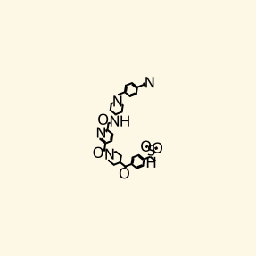 CC(c1ccc(C(=O)C2CCN(C(=O)c3ccc(C(=O)NC4CCN(Cc5ccc(C#N)cc5)CC4)nc3)CC2)cc1)[SH](=O)=O